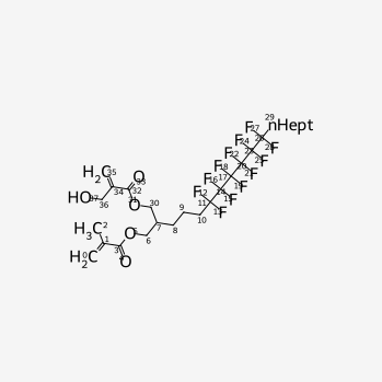 C=C(C)C(=O)OCC(CCCC(F)(F)C(F)(F)C(F)(F)C(F)(F)C(F)(F)C(F)(F)CCCCCCC)COC(=O)C(=C)CO